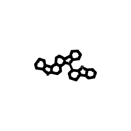 c1ccc2c(c1)oc1c(-n3c4ccccc4c4ccc5c(ccc6sc7ccccc7c65)c43)cccc12